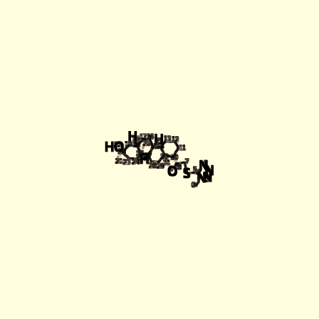 Cn1nnnc1SCC(=O)[C@H]1CCCC2[C@@H]3CC[C@H]4C[C@](C)(O)CC[C@]4(C)[C@H]3CC[C@@]21C